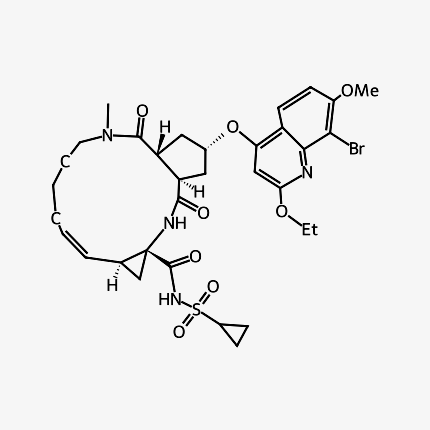 CCOc1cc(O[C@@H]2C[C@H]3C(=O)N[C@]4(C(=O)NS(=O)(=O)C5CC5)C[C@H]4/C=C\CCCCN(C)C(=O)[C@@H]3C2)c2ccc(OC)c(Br)c2n1